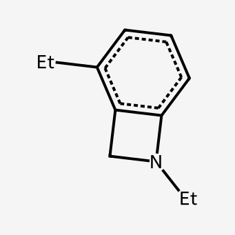 CCc1cccc2c1CN2CC